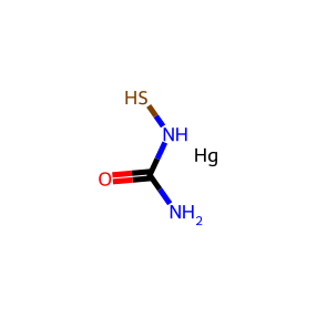 NC(=O)NS.[Hg]